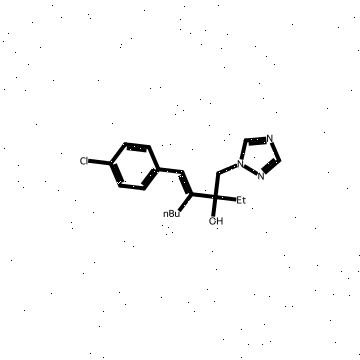 CCCC/C(=C\c1ccc(Cl)cc1)C(O)(CC)Cn1cncn1